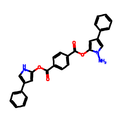 Nn1cc(-c2ccccc2)cc1OC(=O)c1ccc(C(=O)Oc2cc(-c3ccccc3)c[nH]2)cc1